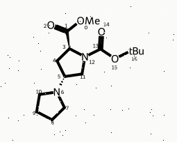 COC(=O)[C@@H]1C[C@@H](N2CCCC2)CN1C(=O)OC(C)(C)C